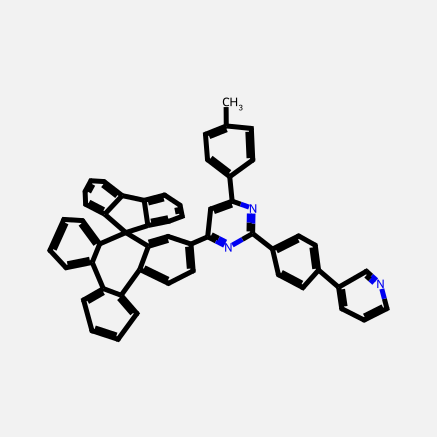 Cc1ccc(-c2cc(-c3ccc4c(c3)C3(c5ccccc5-c5ccccc5-4)c4ccccc4-c4ccccc43)nc(-c3ccc(-c4cccnc4)cc3)n2)cc1